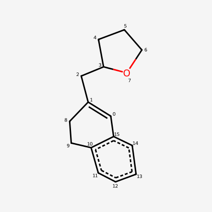 C1=C(CC2CCCO2)CCc2ccccc21